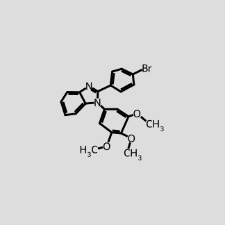 COc1cc(-n2c(-c3ccc(Br)cc3)nc3ccccc32)cc(OC)c1OC